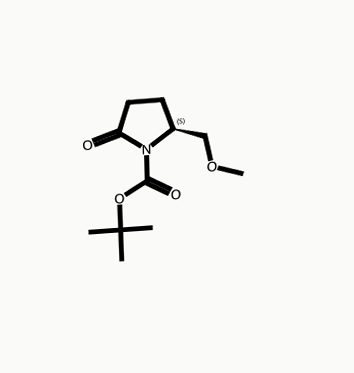 COC[C@@H]1CCC(=O)N1C(=O)OC(C)(C)C